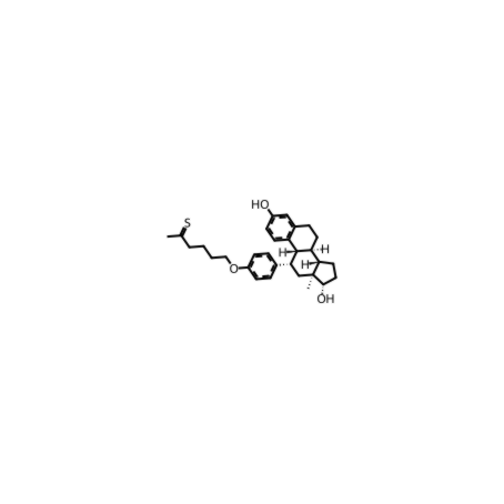 CC(=S)CCCCOc1ccc([C@H]2C[C@]3(C)[C@@H](O)CC[C@H]3[C@@H]3CCc4cc(O)ccc4[C@H]32)cc1